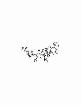 CC(C)(C1CC(=O)N(c2nnc(C(F)(F)F)s2)C1)S(=O)(=O)c1cccc(C(F)(F)F)c1